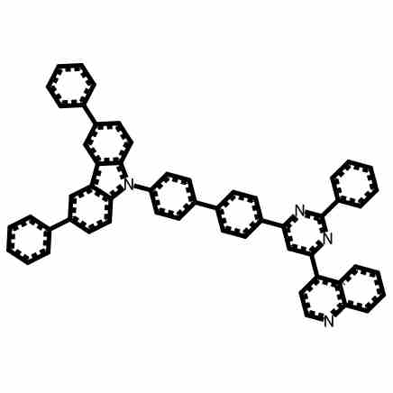 c1ccc(-c2ccc3c(c2)c2cc(-c4ccccc4)ccc2n3-c2ccc(-c3ccc(-c4cc(-c5ccnc6ccccc56)nc(-c5ccccc5)n4)cc3)cc2)cc1